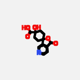 O=C1OC2(CCC(O)(C(=O)O)CC2)c2cnccc21